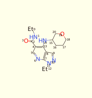 CCNC(=O)c1cnc2c(cnn2CC)c1NC1CCCOC1